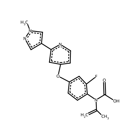 C=C(C)N(C(=O)O)c1ccc(Oc2ccnc(-c3cnn(C)c3)c2)cc1F